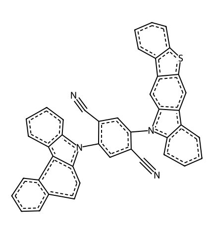 N#Cc1cc(-n2c3ccccc3c3c4ccccc4ccc32)c(C#N)cc1-n1c2ccccc2c2cc3sc4ccccc4c3cc21